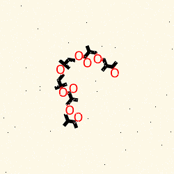 CC(=O)C(C)COCC(C)C(=O)OCCC(C)(C)OCCC(C)(C)OC(=O)C(C)COCC(C)C(C)=O